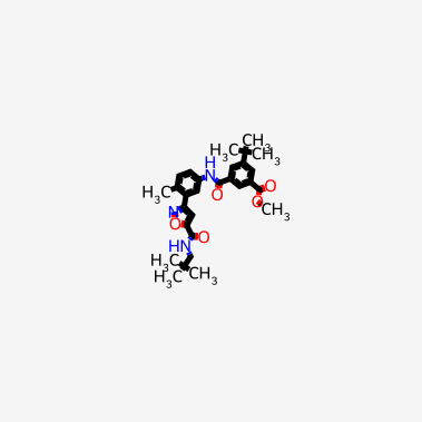 COC(=O)c1cc(C(=O)Nc2ccc(C)c(-c3cc(C(=O)NCC(C)(C)C)on3)c2)cc(C(C)(C)C)c1